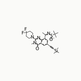 C/C(=N/[S@+]([O-])C(C)(C)C)c1cc(C#C[Si](C)(C)C)cc2c(=O)n(C)c(N3CCC(F)(F)CC3)nc12